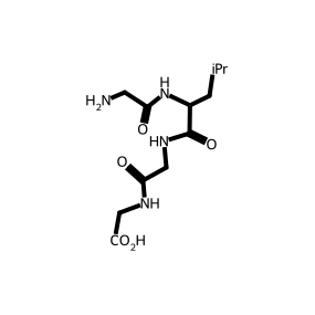 CC(C)CC(NC(=O)CN)C(=O)NCC(=O)NCC(=O)O